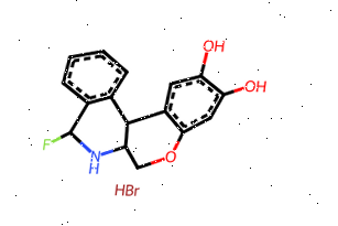 Br.Oc1cc2c(cc1O)C1c3ccccc3C(F)NC1CO2